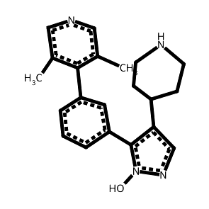 Cc1cncc(C)c1-c1cccc(-c2c(C3CCNCC3)cnn2O)c1